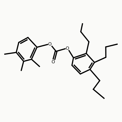 CCCc1ccc(OC(=O)Oc2ccc(C)c(C)c2C)c(CCC)c1CCC